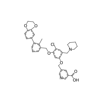 Cc1c(COc2cc(OCc3cncc(C(=O)O)c3)c(CN3CCCCC3)cc2Cl)cccc1-c1ccc2c(c1)OCCO2